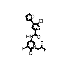 O=C(Nc1cc(F)c(=O)n(CC(F)F)c1)c1cc(-c2ccco2)c(Cl)s1